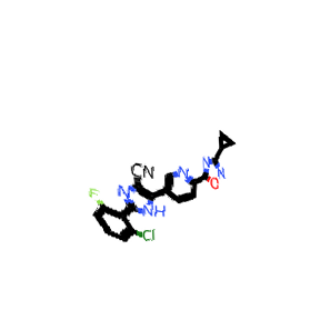 N#Cc1nc(-c2c(F)cccc2Cl)[nH]c1-c1ccc(-c2nc(C3CC3)no2)nc1